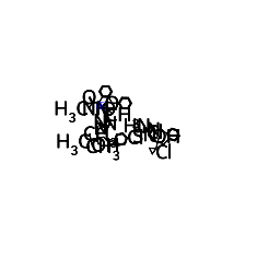 CC(C)(C)C(O)(CCc1ccc(Cl)cc1)Cn1cncn1.CNC(=O)/C(=N/OC)c1ccccc1Oc1ccccc1.OC(Cc1ccccc1Cl)(Cn1nc[nH]c1=S)C1(Cl)CC1